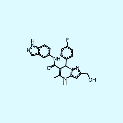 CC1=C(C(=O)Nc2ccc3[nH]ncc3c2)C(c2ccc(F)cc2)n2nc(CO)cc2N1